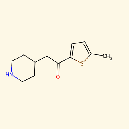 Cc1ccc(C(=O)CC2CCNCC2)s1